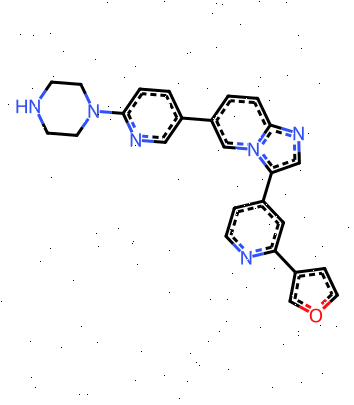 c1cc(-c2cnc3ccc(-c4ccc(N5CCNCC5)nc4)cn23)cc(-c2ccoc2)n1